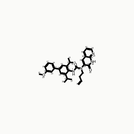 C=CCCN(C(=O)Nc1c(C(C)C)cc(-c2cccc(OC)c2)cc1C(C)C)c1cc2cccnc2[nH]c1=O